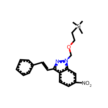 C[Si](C)(C)CCOCn1nc(C=Cc2ccccc2)c2ccc([N+](=O)[O-])cc21